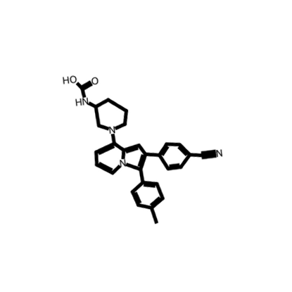 Cc1ccc(-c2c(-c3ccc(C#N)cc3)cc3c(N4CCCC(NC(=O)O)C4)cccn23)cc1